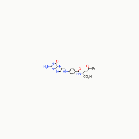 CC(C)C(=O)CC[C@@H](NC(=O)c1ccc(NCC2=NC3C(=O)N=C(N)N=C3N=C2)cc1)C(=O)O